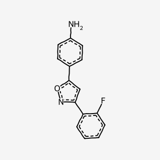 Nc1ccc(-c2cc(-c3ccccc3F)no2)cc1